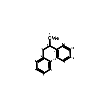 COC(Cc1ccccc1)c1ccccc1